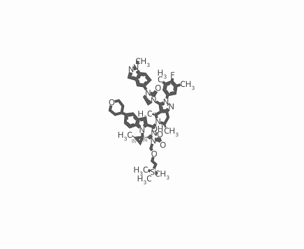 Cc1cc(-n2nc3c(c2-n2ccn(-c4ccc5c(cnn5C)c4)c2=O)[C@H](C)N(C(O)c2cc4cc(C5CCOCC5)ccc4n2[C@@]2(c4noc(=O)n4COCC[Si](C)(C)C)C[C@@H]2C)[C@H](C)C3)cc(C)c1F